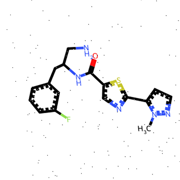 Cn1nccc1-c1ncc(C(=O)NC(CN)Cc2cccc(F)c2)s1